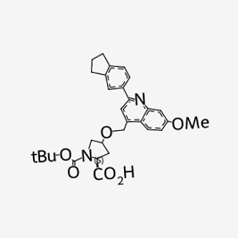 COc1ccc2c(COC3C[C@@H](C(=O)O)N(C(=O)OC(C)(C)C)C3)cc(-c3ccc4c(c3)CCC4)nc2c1